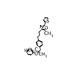 Cc1oc(-c2cccs2)nc1CCCc1ccc(C[C@](C)(Oc2ccccc2)C(=O)O)cc1